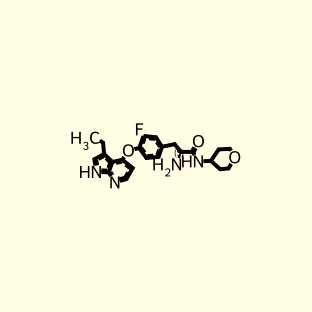 CCc1c[nH]c2nccc(Oc3ccc(C[C@H](N)C(=O)NC4CCOCC4)cc3F)c12